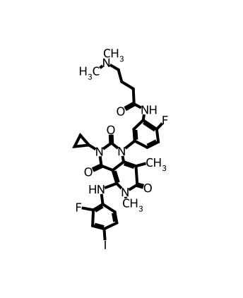 Cc1c(=O)n(C)c(Nc2ccc(I)cc2F)c2c(=O)n(C3CC3)c(=O)n(-c3ccc(F)c(NC(=O)CCCN(C)C)c3)c12